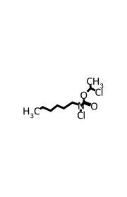 CCCCCCN(Cl)C(=O)OC(C)Cl